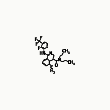 CCCN(CCC)C(=O)c1cnc(Nc2cccc(C(F)(F)F)c2F)c2cccc(C)c12